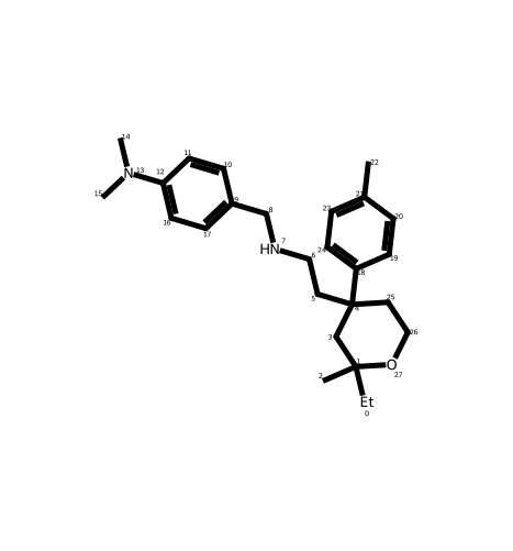 CCC1(C)CC(CCNCc2ccc(N(C)C)cc2)(c2ccc(C)cc2)CCO1